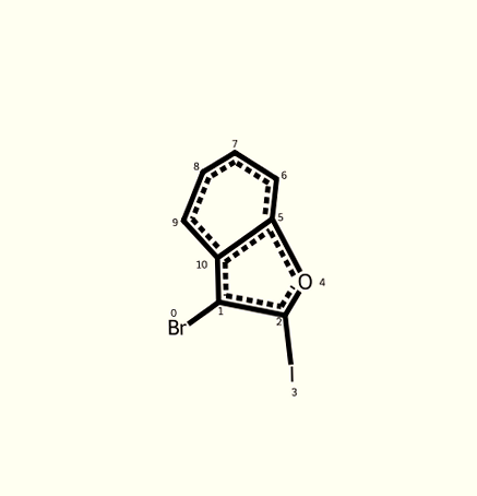 Brc1c(I)oc2ccccc12